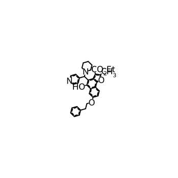 CCOC(=O)c1c(C)oc2c1c(C(c1ccncc1)N1CCCCC1)c(O)c1cc(OCCc3ccccc3)ccc12